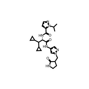 CC(C)n1nccc1C(=O)N[C@H](C(=O)Nc1cnn(CC2CCNC2=O)c1)C(C1CC1)C1CC1